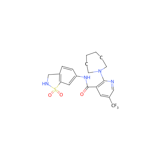 O=C(Nc1ccc2c(c1)S(=O)(=O)NC2)c1cc(C(F)(F)F)cnc1N1CCCCCC1